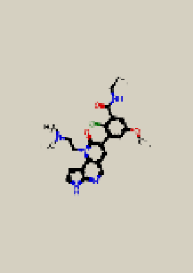 CCNC(=O)c1cc(OC)cc(-c2cc3cnc4[nH]ccc4c3n(CCN(C)C)c2=O)c1Cl